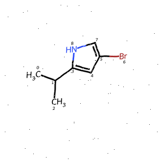 CC(C)c1cc(Br)c[nH]1